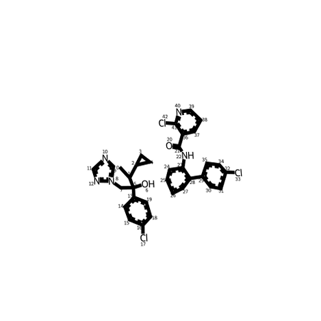 CC(C1CC1)C(O)(Cn1cncn1)c1ccc(Cl)cc1.O=C(Nc1ccccc1-c1ccc(Cl)cc1)c1cccnc1Cl